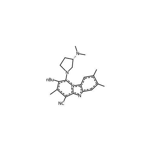 CCCCc1c(C)c(C#N)c2nc3cc(C)c(C)cc3n2c1N1CC[C@H](N(C)C)C1